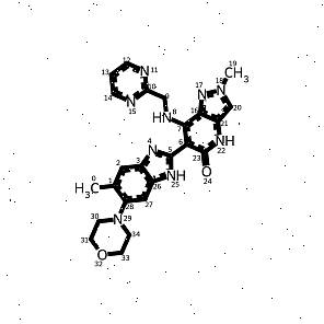 Cc1cc2nc(-c3c(NCc4ncccn4)c4nn(C)cc4[nH]c3=O)[nH]c2cc1N1CCOCC1